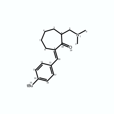 CN(C)CC1CCCCC(=Cc2ccc(C(C)(C)C)cc2)C1=O